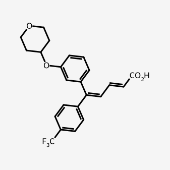 O=C(O)/C=C/C=C(/c1ccc(C(F)(F)F)cc1)c1cccc(OC2CCOCC2)c1